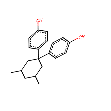 CC1CC(C)CC(c2ccc(O)cc2)(c2ccc(O)cc2)C1